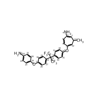 CC1C=C(N)C=CC(Oc2ccc(C(c3ccc(Oc4ccc(N)cc4)cc3)(C(F)(F)F)C(F)(F)F)cc2)=C1